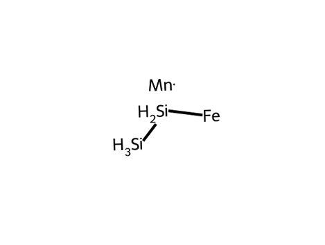 [Mn].[SiH3][SiH2][Fe]